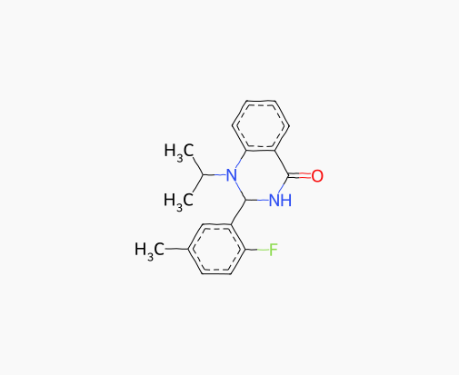 Cc1ccc(F)c(C2NC(=O)c3ccccc3N2C(C)C)c1